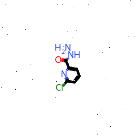 NNC(=O)c1cccc(Cl)n1